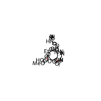 CC[C@H]1OC(=O)[C@H](C)[C@@H](O[C@H]2C[C@@](C)(OC)[C@@H](O)[C@H](C)O2)[C@H](C)[C@@H](O[C@@H]2O[C@H](C)C[C@H](N(C)CCc3cn(CCCOc4ccc(Nc5nnns5)cc4)nn3)[C@H]2O)[C@](C)(O)C[C@@H](C)CN(C)[C@H](C)[C@@H](O)[C@]1(C)O